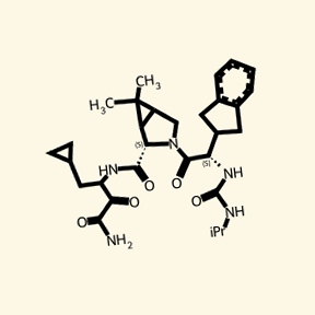 CC(C)NC(=O)N[C@H](C(=O)N1CC2C([C@H]1C(=O)NC(CC1CC1)C(=O)C(N)=O)C2(C)C)C1Cc2ccccc2C1